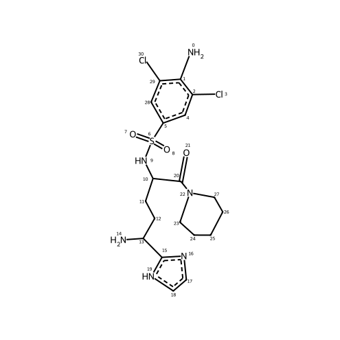 Nc1c(Cl)cc(S(=O)(=O)NC(CCC(N)c2ncc[nH]2)C(=O)N2CCCCC2)cc1Cl